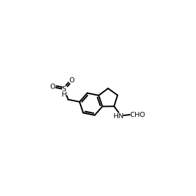 O=CNC1CCc2cc(C[SH](=O)=O)ccc21